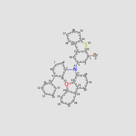 Brc1cc(N(c2cccc(-c3ccccc3)c2)c2cccc3c2oc2ccccc23)cc2c1sc1ccccc12